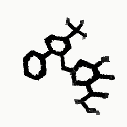 CNC(=O)c1nn(Cc2cc(C(F)(F)F)ccc2-c2ccccc2)cc(O)c1=O